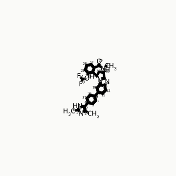 Cc1nc(C)c(-c2ccc(-c3ccc4nc5n(c4c3)[C@@H]3C[C@H]5N(C)C(=O)c4cccc(OC(F)F)c43)cc2)[nH]1